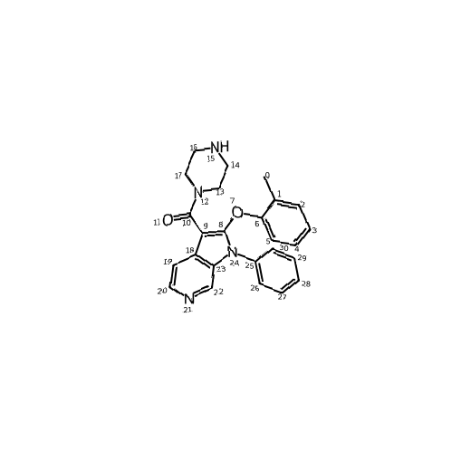 Cc1ccccc1Oc1c(C(=O)N2CCNCC2)c2ccncc2n1-c1ccccc1